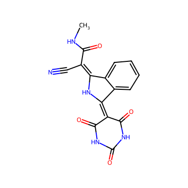 CNC(=O)C(C#N)=c1[nH]c(=C2C(=O)NC(=O)NC2=O)c2ccccc12